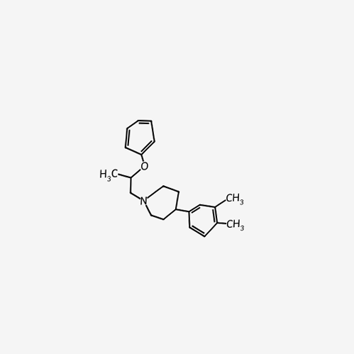 Cc1ccc(C2CCN(CC(C)Oc3ccccc3)CC2)cc1C